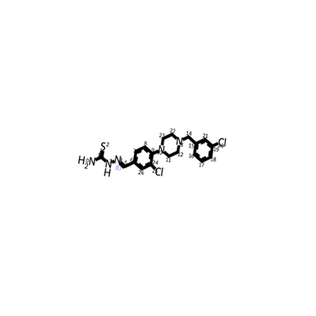 NC(=S)N/N=C/c1ccc(N2CCN(Cc3cccc(Cl)c3)CC2)c(Cl)c1